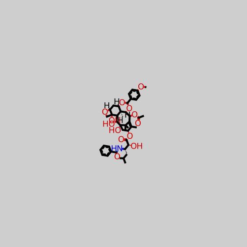 COc1ccc(C2O[C@H]3C[C@H]4OC[C@@]4(O)[C@H]4[C@H](O)[C@]5(O)C[C@H](OC(=O)[C@H](O)[C@H](CC(C)C)NC(=O)c6ccccc6)C(C)=C(C(OC(C)=O)[C@H](O2)[C@]34C)C5(C)C)cc1